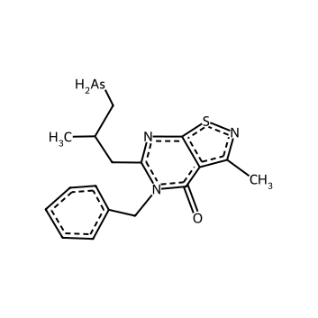 Cc1nsc2nc(CC(C)C[AsH2])n(Cc3ccccc3)c(=O)c12